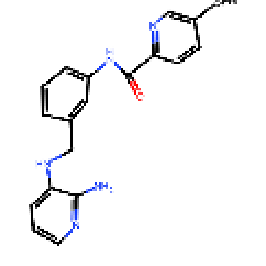 CSc1ccc(C(=O)Nc2cccc(CNc3cccnc3N)c2)nc1